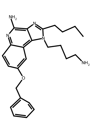 CCCCc1nc2c(N)nc3ccc(OCc4ccccc4)cc3c2n1CCCCN